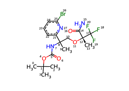 CC(C)(C)OC(=O)NC(C)(CO[C@](C)(C(N)=O)C(F)(F)F)c1cccc(Br)n1